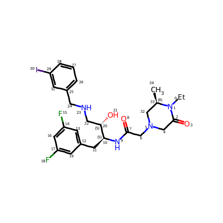 CCN1C(=O)CN(CC(=O)N[C@@H](Cc2cc(F)cc(F)c2)[C@@H](O)CNCc2cccc(I)c2)C[C@H]1C